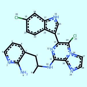 CC(Cc1cccnc1N)Nc1nc(-c2c[nH]c3cc(Cl)ccc23)c(Cl)n2ccnc12